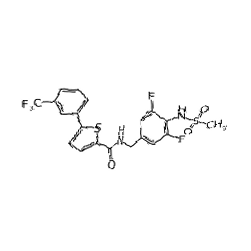 CS(=O)(=O)Nc1c(F)cc(CNC(=O)c2ccc(-c3cccc(C(F)(F)F)c3)s2)cc1F